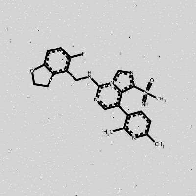 Cc1ccc(-c2cnc(NCc3c(F)ccc4c3CCO4)n3cnc(S(C)(=N)=O)c23)c(C)n1